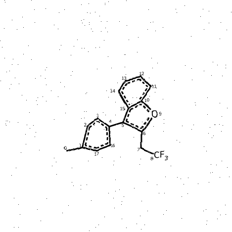 Cc1ccc(-c2c(CC(F)(F)F)oc3ccccc23)cc1